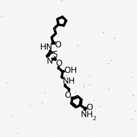 NC(=O)c1ccc(OCCNCC(O)COc2ncc(NC(=O)CCCC3CCCC3)s2)cc1